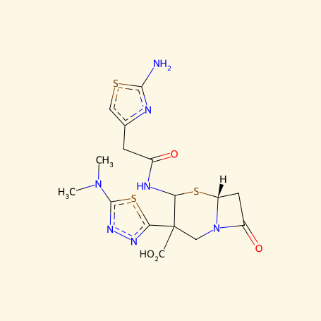 CN(C)c1nnc(C2(C(=O)O)CN3C(=O)C[C@H]3SC2NC(=O)Cc2csc(N)n2)s1